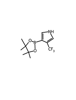 CC1(C)OB(c2c[nH]cc2C(F)(F)F)OC1(C)C